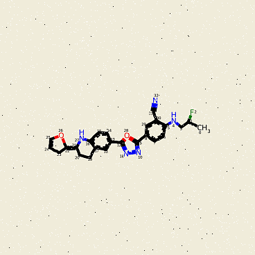 CC(F)CNc1ccc(-c2nnc(-c3ccc4c(c3)CCC(=C3CC=CO3)N4)o2)cc1C#N